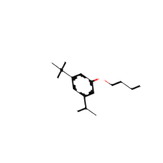 CCCCOc1cc([C](C)C)cc(C(C)(C)C)c1